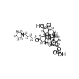 C[C@]12C[C@H](c3ccc(OCCCCCN4CCCCC4)cc3)[C@@H]3c4ccc(O)c(Cl)c4CC[C@H]3[C@@H]1CC[C@@]2(O)CCOC(=O)O